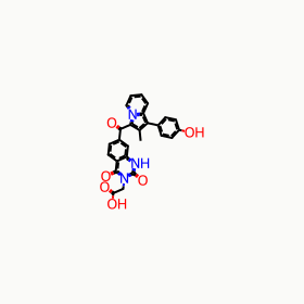 Cc1c(-c2ccc(O)cc2)c2ccccn2c1C(=O)c1ccc2c(=O)n(CC(=O)O)c(=O)[nH]c2c1